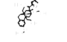 CCCC12CC3N(C)C(Cc4ccc(OC)cc41)C2(CCC)CC3(C(=O)OCC)C(=O)c1ccco1